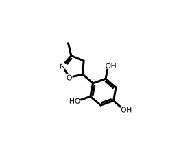 CC1=NOC(c2c(O)cc(O)cc2O)C1